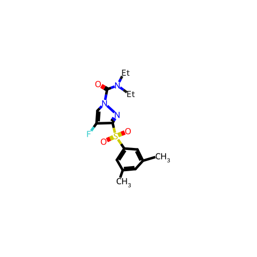 CCN(CC)C(=O)n1cc(F)c(S(=O)(=O)c2cc(C)cc(C)c2)n1